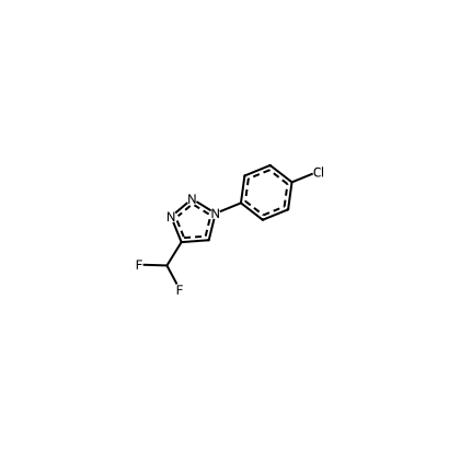 FC(F)c1cn(-c2ccc(Cl)cc2)nn1